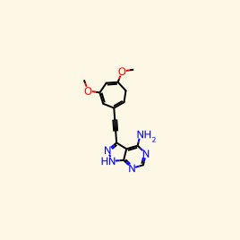 COC1=CC(C#Cc2n[nH]c3ncnc(N)c23)=CCC(OC)=C1